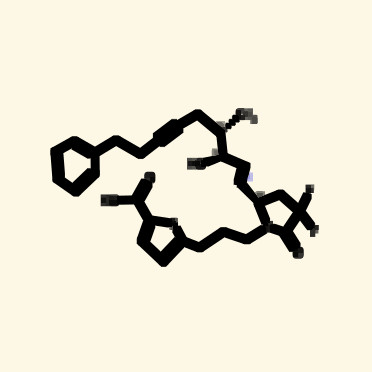 C[C@@H](CC#CCCc1ccccc1)[C@H](O)/C=C/[C@H]1CC(F)(F)C(=O)N1CCCc1ccc(C(=O)O)s1